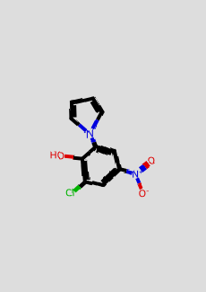 O=[N+]([O-])c1cc(Cl)c(O)c(-n2cccc2)c1